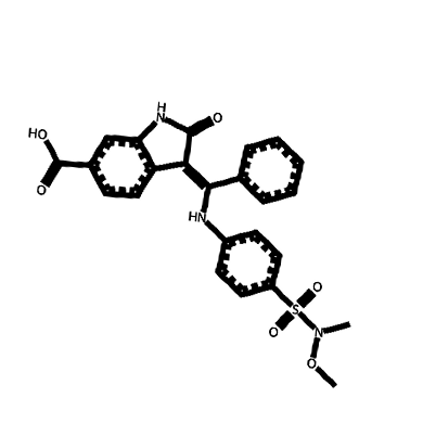 CON(C)S(=O)(=O)c1ccc(N/C(=C2/C(=O)Nc3cc(C(=O)O)ccc32)c2ccccc2)cc1